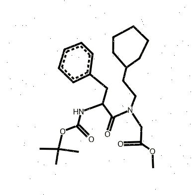 COC(=O)CN(CCC1CCCCC1)C(=O)C(Cc1ccccc1)NC(=O)OC(C)(C)C